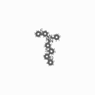 c1ccc(-c2nc(-c3ccc4sc5ccccc5c4c3)nc(-c3ccc4sc5c(-c6cccc7c6oc6ccccc67)cccc5c4c3)n2)cc1